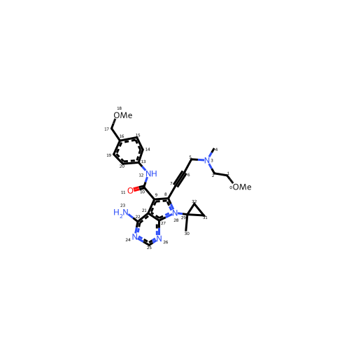 COCCN(C)CC#Cc1c(C(=O)Nc2ccc(COC)cc2)c2c(N)ncnc2n1C1(C)CC1